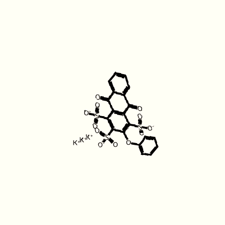 O=C1c2ccccc2C(=O)c2c1c(S(=O)(=O)[O-])c(Oc1ccccc1)c(S(=O)(=O)[O-])c2S(=O)(=O)[O-].[K+].[K+].[K+]